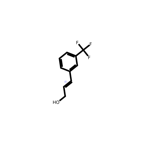 OC/C=C/c1cccc(C(F)(F)F)c1